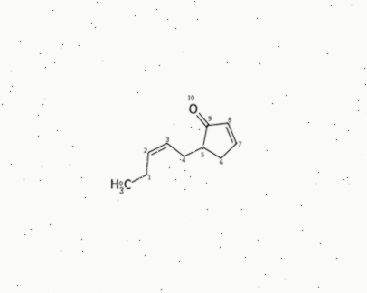 CC/C=C\CC1CC=CC1=O